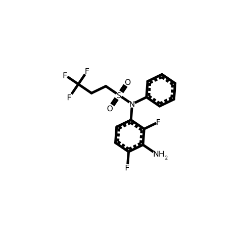 Nc1c(F)ccc(N(c2ccccc2)S(=O)(=O)CCC(F)(F)F)c1F